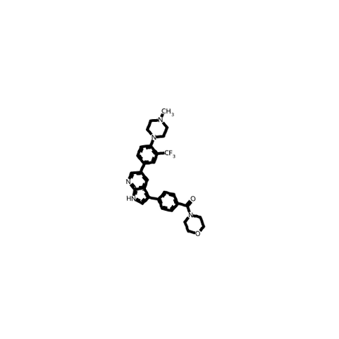 CN1CCN(c2ccc(-c3cnc4[nH]cc(-c5ccc(C(=O)N6CCOCC6)cc5)c4c3)cc2C(F)(F)F)CC1